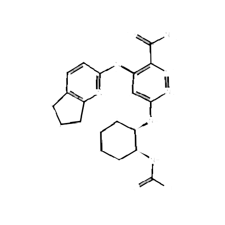 NC(=O)c1nnc(N[C@@H]2CCCC[C@@H]2NC(=O)O)cc1Nc1ccc2c(n1)CCC2